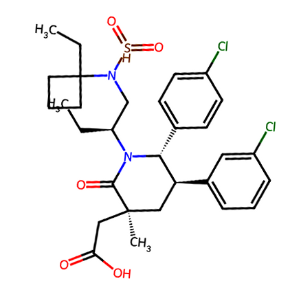 CC[C@@H](CN([SH](=O)=O)C1(CC)CCC1)N1C(=O)[C@](C)(CC(=O)O)C[C@H](c2cccc(Cl)c2)[C@H]1c1ccc(Cl)cc1